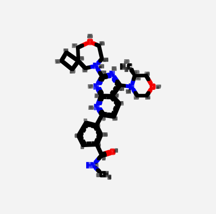 CNC(=O)c1cccc(-c2ccc3c(N4CCOC[C@@H]4C)nc(N4CCOCC5(CCC5)C4)nc3n2)c1